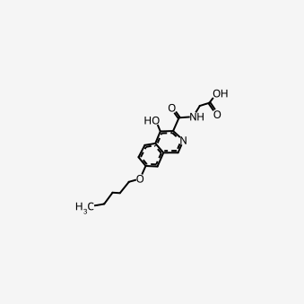 CCCCCOc1ccc2c(O)c(C(=O)NCC(=O)O)ncc2c1